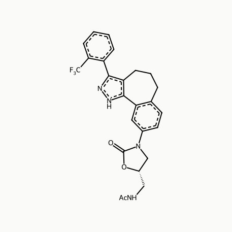 CC(=O)NC[C@H]1CN(c2ccc3c(c2)-c2[nH]nc(-c4ccccc4C(F)(F)F)c2CCC3)C(=O)O1